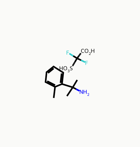 Cc1ccccc1C(C)(C)N.O=C(O)C(F)(F)S(=O)(=O)O